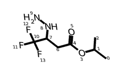 CC(C)OC(=O)CC(NN)C(F)(F)F